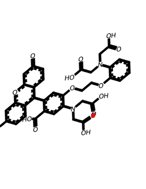 O=C(O)CN(CC(=O)O)c1ccccc1OCCOc1cc(-c2c3ccc(=O)cc-3oc3cc(O)ccc23)c(C(=O)O)cc1N(CC(=O)O)CC(=O)O